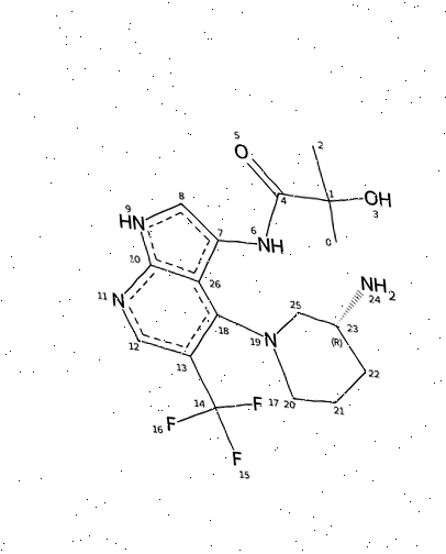 CC(C)(O)C(=O)Nc1c[nH]c2ncc(C(F)(F)F)c(N3CCC[C@@H](N)C3)c12